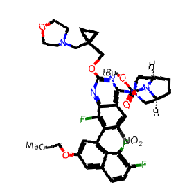 COCOc1cc(-c2c([N+](=O)[O-])cc3c(N4C[C@H]5CC[C@@H](C4)N5C(=O)OC(C)(C)C)nc(OCC4(CN5CCOCC5)CC4)nc3c2F)c2c(F)c(F)ccc2c1